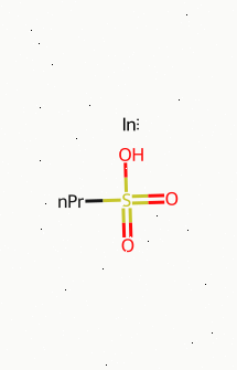 CCCS(=O)(=O)O.[In]